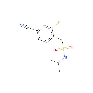 CC(C)NS(=O)(=O)Cc1ccc(C#N)cc1F